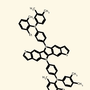 CCc1cccc(C)c1N(c1ccc(-n2c3cc4ccsc4cc3c3c2c2cc4sccc4cc2n3-c2ccc(N(c3ccc(C)c(C)c3)c3c(C)cccc3CC)cc2)cc1)c1ccc(C)c(C)c1